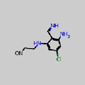 N=Cc1c(N)cc(Cl)cc1NCCN=O